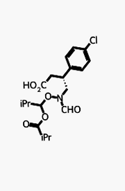 CC(C)C(=O)OC(ON(C=O)C[C@H](CC(=O)O)c1ccc(Cl)cc1)C(C)C